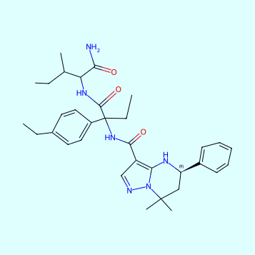 CCc1ccc(C(CC)(NC(=O)c2cnn3c2N[C@@H](c2ccccc2)CC3(C)C)C(=O)NC(C(N)=O)C(C)CC)cc1